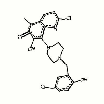 Cn1c(=O)c(C#N)c(N2CCN(Cc3cc(Cl)ccc3O)CC2)c2nc(Cl)ccc21